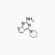 Nc1nc(N2CCCCC2)c2ccsc2n1